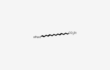 CCCCC/C=C/C/C=C/CCCC/C=C/CCCC(=O)OCC